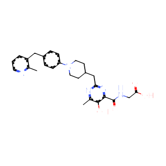 Cc1ncccc1Cc1ccc(N2CCC(Cc3nc(C)c(O)c(C(=O)NCC(=O)O)n3)CC2)cc1